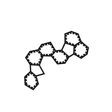 c1ccc2c(c1)Cc1c-2ccc2ccc3c4c(ccc3c12)-c1cccc2cccc-4c12